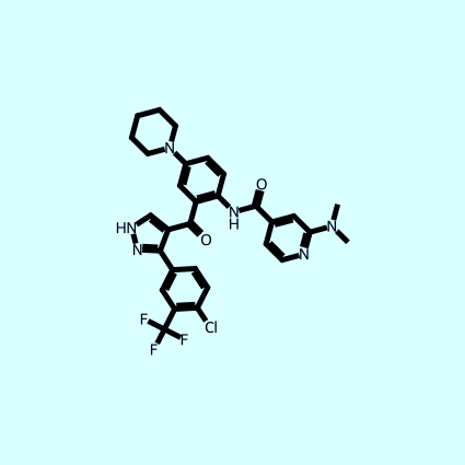 CN(C)c1cc(C(=O)Nc2ccc(N3CCCCC3)cc2C(=O)c2c[nH]nc2-c2ccc(Cl)c(C(F)(F)F)c2)ccn1